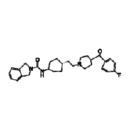 O=C(c1ccc(F)cc1)C1CCN(CC[C@H]2CC[C@H](NC(=O)N3Cc4ccccc4C3)CC2)CC1